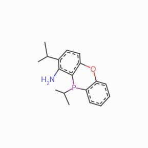 CC(C)c1ccc2c(c1N)P(C(C)C)c1ccccc1O2